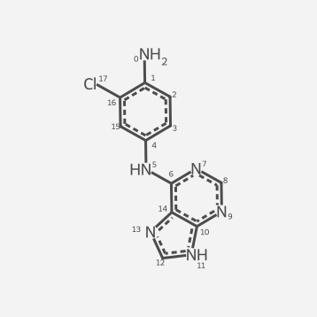 Nc1ccc(Nc2ncnc3[nH]cnc23)cc1Cl